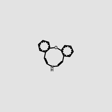 C1=Cc2ccccc2Oc2ccccc2C=CN1